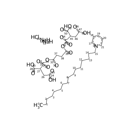 CCCCCCCCCCCCCCCC[n+]1ccccc1.Cl.O=C(O)CC(C(=O)O)S(=O)(=O)OC(=O)CCC(=O)OS(=O)(=O)C(CC(=O)O)C(=O)O.[NaH].[NaH]